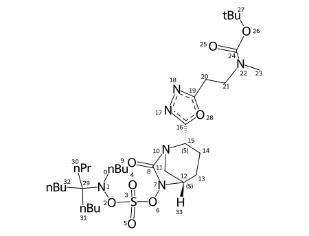 CCCCN(OS(=O)(=O)ON1C(=O)N2C[C@@H]1CC[C@H]2c1nnc(CCN(C)C(=O)OC(C)(C)C)o1)C(CCC)(CCCC)CCCC